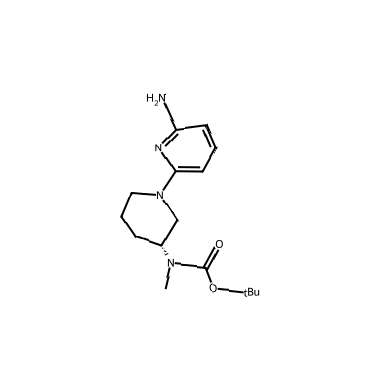 CN(C(=O)OC(C)(C)C)[C@@H]1CCCN(c2cccc(N)n2)C1